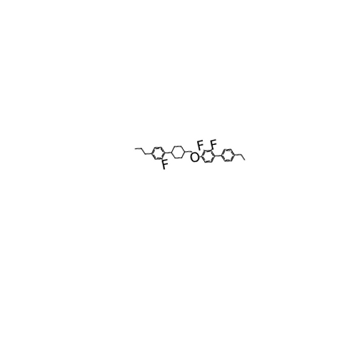 CCCc1ccc(C2CCC(COc3ccc(-c4ccc(CC)cc4)c(F)c3F)CC2)c(F)c1